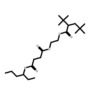 CCCC(CC)OC(=O)CCC(=O)OCCOC(=O)C(CC(C)(C)C)C(C)(C)C